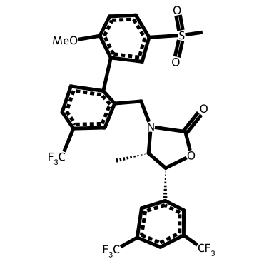 COc1ccc(S(C)(=O)=O)cc1-c1ccc(C(F)(F)F)cc1CN1C(=O)O[C@H](c2cc(C(F)(F)F)cc(C(F)(F)F)c2)[C@@H]1C